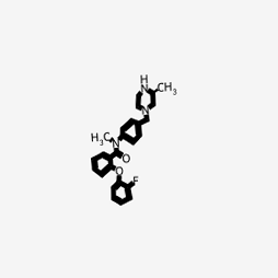 C[C@H]1CN(Cc2ccc(N(C)C(=O)c3ccccc3Oc3ccccc3F)cc2)CCN1